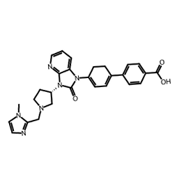 Cn1ccnc1CN1CC[C@H](n2c(=O)n(C3=CC=C(c4ccc(C(=O)O)cc4)CC3)c3cccnc32)C1